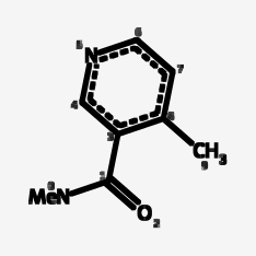 CNC(=O)c1cnccc1C